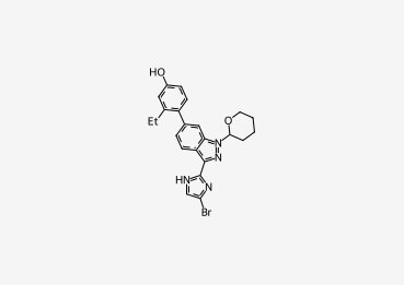 CCc1cc(O)ccc1-c1ccc2c(-c3nc(Br)c[nH]3)nn(C3CCCCO3)c2c1